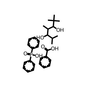 CC(C)C(O)C(C)C(O)C(C)(C)C.O=C(O)c1ccccc1.O=P(O)(c1ccccc1)c1ccccc1